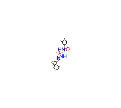 Cc1ccc(C(=O)NCC(=O)N/N=C/c2csc3ccccc23)cc1C